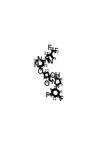 O=C1N2[C@@H](CC[C@H]2c2cc(F)cc(F)c2)OC12CC(Oc1cc(-n3cc(C(F)F)cn3)ncn1)C2